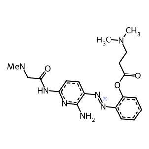 CNCC(=O)Nc1ccc(/N=N/c2ccccc2OC(=O)CCN(C)C)c(N)n1